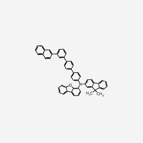 CC1(C)c2ccccc2-c2ccc(N(c3ccc(-c4ccc(-c5cccc(-c6ccc7ccccc7c6)c5)cc4)cc3)c3cccc4c3oc3ccccc34)cc21